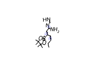 CC\C=C/C(=C\C(N)=N\C=N)B1OC(C)(C)C(C)(C)O1